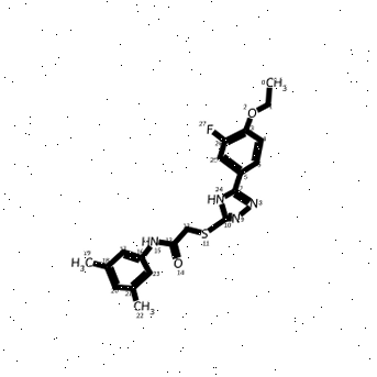 CCOc1ccc(-c2nnc(SCC(=O)Nc3cc(C)cc(C)c3)[nH]2)cc1F